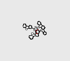 c1ccc(-n2c3ccccc3c3ccc4c5ccccc5n(-c5nc(-c6ccc7c(c6)oc6ccccc67)nc(-c6cccc7c6oc6ccccc67)n5)c4c32)cc1